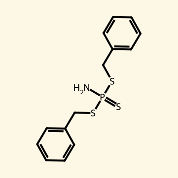 NP(=S)(SCc1ccccc1)SCc1ccccc1